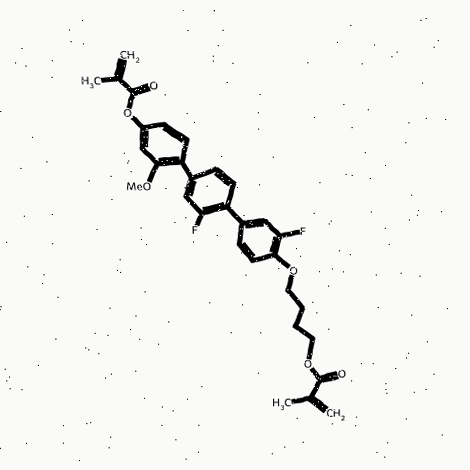 C=C(C)C(=O)OCCCCOc1ccc(-c2ccc(-c3ccc(OC(=O)C(=C)C)cc3OC)cc2F)cc1F